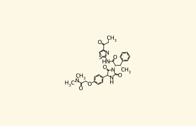 CCC(=O)c1csc(NC(=O)[C@H]([C@@H](C)c2ccccc2)N2C(=O)NC(c3ccc(OCC(=O)N(C)C)cc3)C2=O)n1